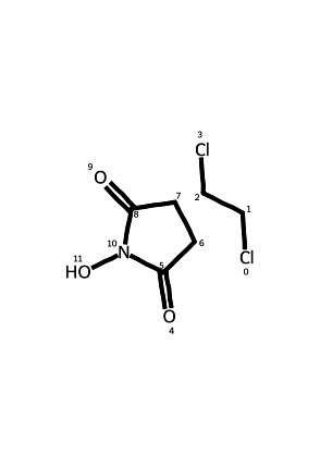 ClCCCl.O=C1CCC(=O)N1O